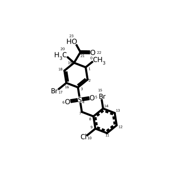 CC1C=C(S(=O)(=O)Cc2c(Cl)cccc2Br)C(Br)=CC1(C)C(=O)O